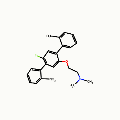 CN(C)CCOc1cc(-c2ccccc2[N+](=O)[O-])c(F)cc1-c1ccccc1[N+](=O)[O-]